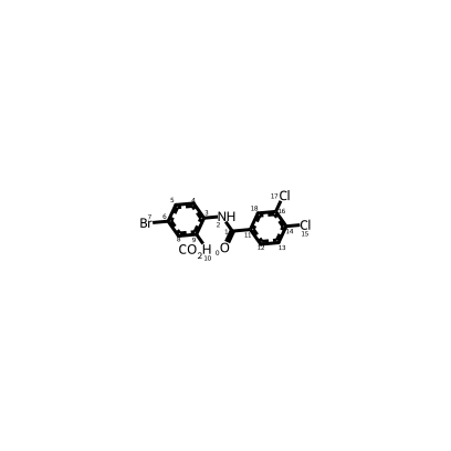 O=C(Nc1ccc(Br)cc1C(=O)O)c1ccc(Cl)c(Cl)c1